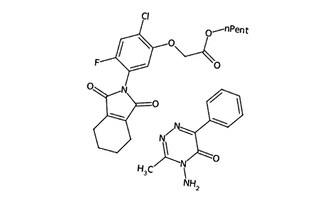 CCCCCOC(=O)COc1cc(N2C(=O)C3=C(CCCC3)C2=O)c(F)cc1Cl.Cc1nnc(-c2ccccc2)c(=O)n1N